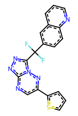 FC(F)(c1ccc2ncccc2c1)c1nnc2ncc(-c3cccs3)nn12